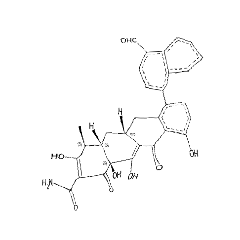 C[C@@H]1C(O)=C(C(N)=O)C(=O)[C@@]2(O)C(O)=C3C(=O)c4c(O)ccc(-c5ccc(C=O)c6ccccc56)c4C[C@H]3C[C@@H]12